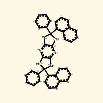 c1ccc(C2(c3cccc4ccccc34)Nc3nc4c(nc3N2)NC(c2ccccc2)(c2cccc3ccccc23)N4)cc1